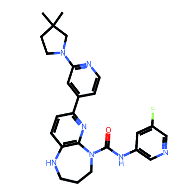 CC1(C)CCN(c2cc(-c3ccc4c(n3)N(C(=O)Nc3cncc(F)c3)CCCN4)ccn2)C1